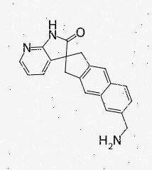 NCc1ccc2cc3c(cc2c1)CC1(C3)C(=O)Nc2ncccc21